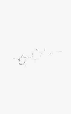 CCc1cnn(C2CCN(CCOC)CC2)c1